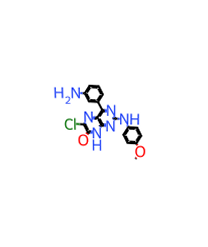 COc1ccc(Nc2nc(-c3cccc(N)c3)c3nc(Cl)c(=O)[nH]c3n2)cc1